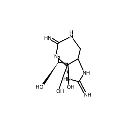 N=C1NC2CNC(=N)N3C[C@H](O)C(O)(O)[C@@]23N1